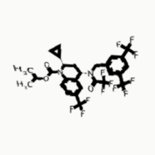 CC(C)OC(=O)N1c2ccc(C(F)(F)F)cc2[C@@H](N(Cc2cc(C(F)(F)F)cc(C(F)(F)F)c2)C(=O)C(F)(F)F)C[C@H]1C1CC1